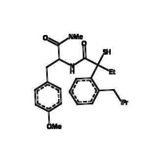 CCC(S)(C(=O)NC(Cc1ccc(OC)cc1)C(=O)NC)c1ccccc1CC(C)C